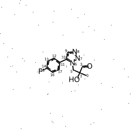 CC(O)(C=O)Cn1nncc1-c1ccc(F)cc1